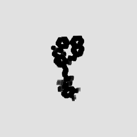 CN(Cc1ccc(C=CC(=O)NS(=O)(=O)c2ccc(F)c(F)c2)c(OCCc2ccc3ccccc3c2)c1)C(=O)c1ccccc1